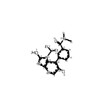 CCC(CC)n1c(O)nc2ncc(Cl)c(-c3cccc(C(=O)N(C)C)c3)c21